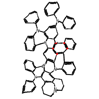 c1ccc(-c2ccccc2N2c3cc4c(cc3B3c5ccccc5N(c5ccccc5)c5c6c7c(c2c53)CCCN7CCC6)B2c3ccccc3N(c3ccccc3)c3cc(N(c5ccccc5)c5ccccc5)cc(c32)N4c2ccccc2)cc1